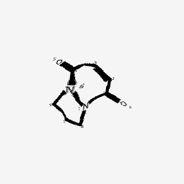 O=c1ccc(=O)n2n1CCC2